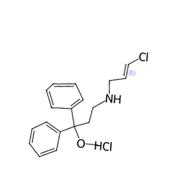 COC(CCNC/C=C/Cl)(c1ccccc1)c1ccccc1.Cl